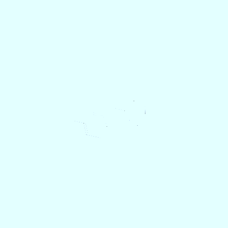 Fc1c(Cl)cc(Oc2ccc(Cl)cc2)c(F)c1F